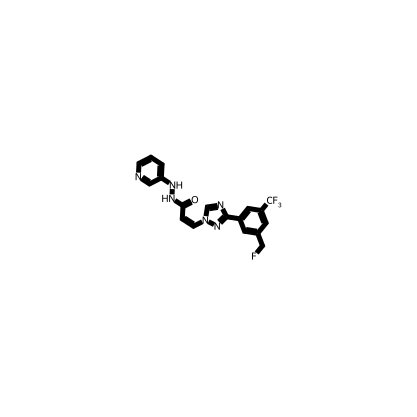 O=C(/C=C\n1cnc(-c2cc(CF)cc(C(F)(F)F)c2)n1)NNc1cccnc1